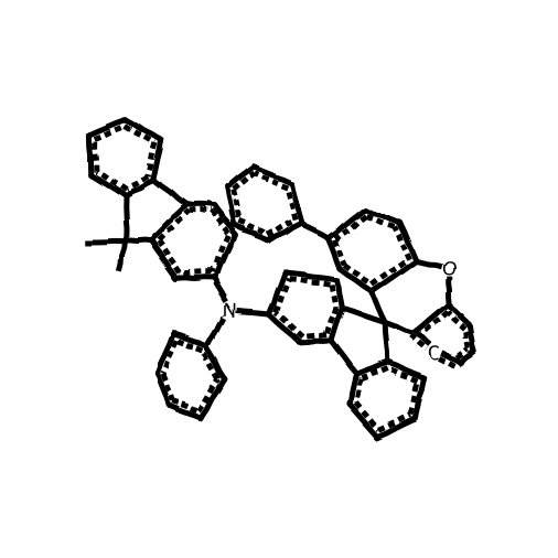 CC1(C)c2ccccc2-c2ccc(N(c3ccccc3)c3ccc4c(c3)-c3ccccc3C43c4ccccc4Oc4ccc(-c5ccccc5)cc43)cc21